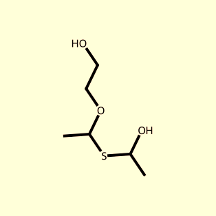 CC(O)SC(C)OCCO